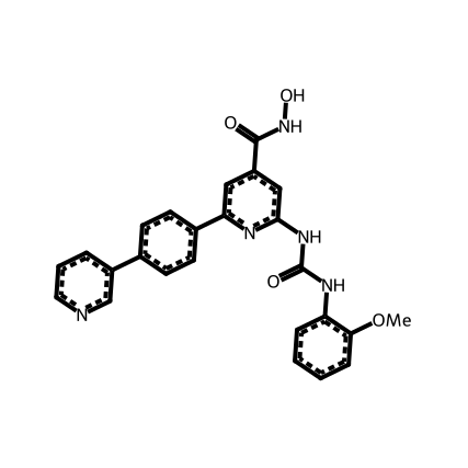 COc1ccccc1NC(=O)Nc1cc(C(=O)NO)cc(-c2ccc(-c3cccnc3)cc2)n1